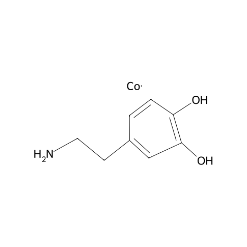 NCCc1ccc(O)c(O)c1.[Co]